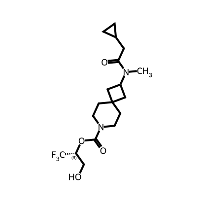 CN(C(=O)CC1CC1)C1CC2(CCN(C(=O)O[C@H](CO)C(F)(F)F)CC2)C1